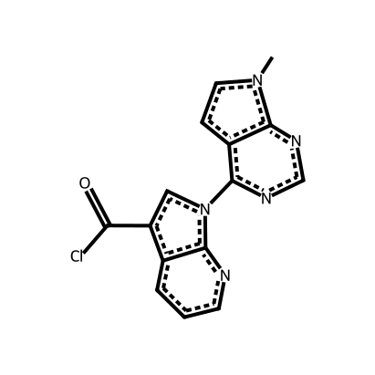 Cn1ccc2c(-n3cc(C(=O)Cl)c4cccnc43)ncnc21